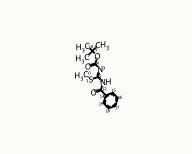 CS/C(=N\C(=O)OC(C)(C)C)NC(=O)c1ccccc1